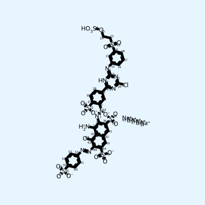 Nc1c(N=Nc2cc(-c3nc(Cl)nc(=Nc4cccc(S(=O)(=O)CCOS(=O)(=O)O)c4)[nH]3)ccc2S(=O)(=O)[O-])c(S(=O)(=O)[O-])cc2cc(S(=O)(=O)[O-])c(N=Nc3ccc(S(=O)(=O)[O-])cc3)c([O-])c12.[Na+].[Na+].[Na+].[Na+].[Na+]